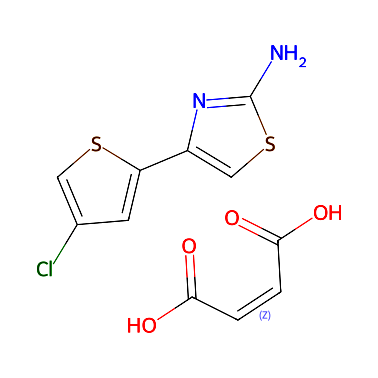 Nc1nc(-c2cc(Cl)cs2)cs1.O=C(O)/C=C\C(=O)O